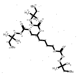 CC(C)(C)CC(C)(C)OOC(=O)OCCCCC(COC(=O)OOC(C)(C)CC(C)(C)C)OC(=O)OOC(C)(C)CC(C)(C)C